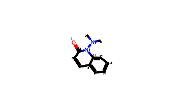 CN(C)n1c(=O)ccc2ccccc21